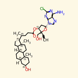 C#C[C@]1(CO)O[C@@H](n2cnc3c(N)nc(Cl)nc32)C[C@@H]1OC(=O)CC[C@@H](C)[C@H]1CCC2[C@@H]3CC[C@@H]4C[C@H](O)CC[C@]4(C)C3CC[C@@]21C